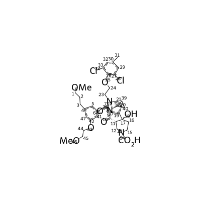 COCCCc1cc(CN(C(=O)[C@H]2CN(C(=O)O)CC[C@@]2(O)c2ccn(CCOc3c(Cl)cc(C)cc3Cl)c(=O)c2)C2CC2)cc(OCCOC)c1